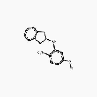 CCOc1ccc([N+](=O)[O-])c(NC2Cc3ccccc3C2)c1